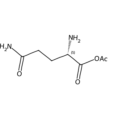 CC(=O)OC(=O)[C@@H](N)CCC(N)=O